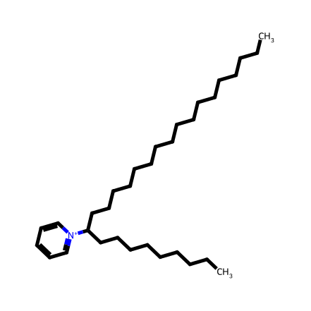 CCCCCCCCCCCCCCCCCC(CCCCCCCCC)[n+]1ccccc1